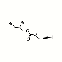 O=C(OCC#CI)OCC(Br)CBr